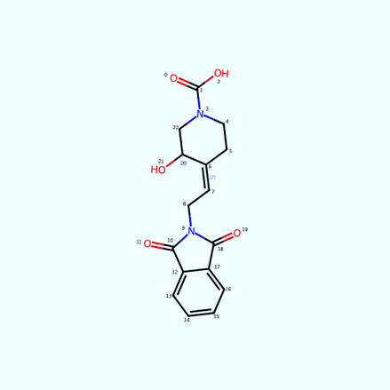 O=C(O)N1CC/C(=C/CN2C(=O)c3ccccc3C2=O)C(O)C1